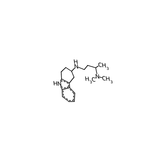 CC(CCNC1CCc2[nH]c3ccccc3c2C1)N(C)C